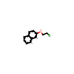 FCCOc1ccc2c[c]ccc2c1